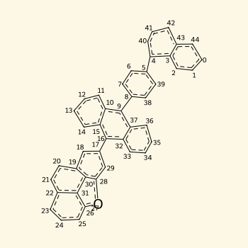 c1ccc2c(-c3ccc(-c4c5ccccc5c(-c5cc6ccc7cccc8oc(c5)c6c78)c5ccccc45)cc3)cccc2c1